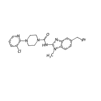 CC(C)Cc1ccc2c(c1)nc(NC(=O)N1CCN(c3ncccc3Cl)CC1)n2C